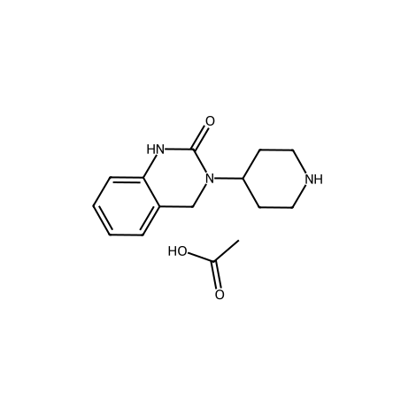 CC(=O)O.O=C1Nc2ccccc2CN1C1CCNCC1